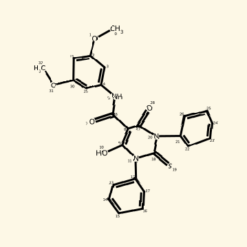 COc1cc(NC(=O)c2c(O)n(-c3ccccc3)c(=S)n(-c3ccccc3)c2=O)cc(OC)c1